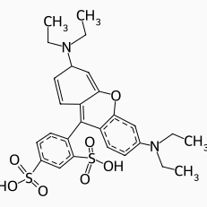 CCN(CC)c1ccc2c(c1)OC1=CC(N(CC)CC)C=CC1=C2c1ccc(S(=O)(=O)O)cc1S(=O)(=O)O